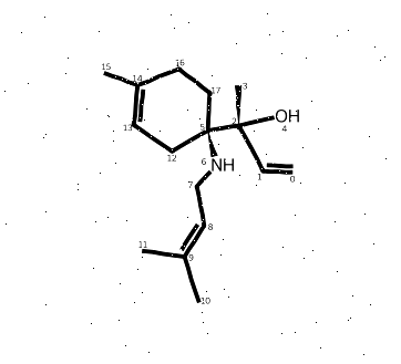 C=C[C@@](C)(O)[C@]1(NCC=C(C)C)CC=C(C)CC1